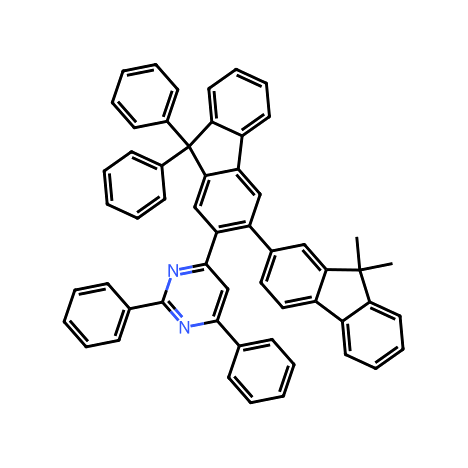 CC1(C)c2ccccc2-c2ccc(-c3cc4c(cc3-c3cc(-c5ccccc5)nc(-c5ccccc5)n3)C(c3ccccc3)(c3ccccc3)c3ccccc3-4)cc21